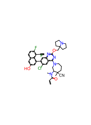 C#Cc1c(F)ccc2cc(O)cc(-c3c(Cl)cc4c(N5CCCC(C)(C#N)C(N(C)C(=O)C=C)C5)nc(OCC56CCCN5CCC6)nc4c3F)c12